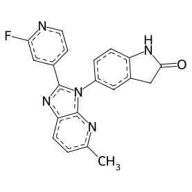 Cc1ccc2nc(-c3ccnc(F)c3)n(-c3ccc4c(c3)CC(=O)N4)c2n1